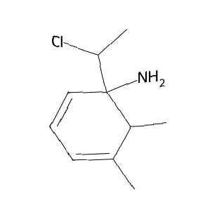 CC1=CC=CC(N)(C(C)Cl)C1C